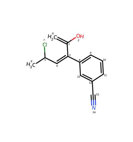 C=C(O)/C(=C\C(C)Cl)c1cccc(C#N)c1